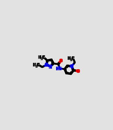 CCn1nc(C(=O)Nc2ccc(=O)n(CC)c2)cc1C